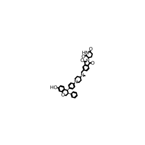 CN(Cc1ccc2c(c1)C(=O)N(C1CCC(=O)NC1=O)C2=O)C1CCN(c2ccc([C@@H]3c4ccc(O)cc4OC[C@@H]3c3ccccc3)cc2)CC1